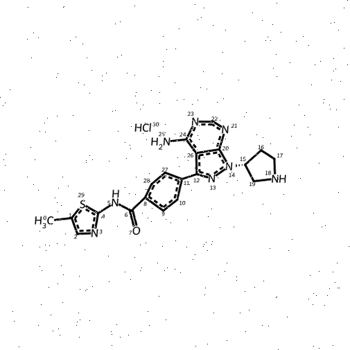 Cc1cnc(NC(=O)c2ccc(-c3nn([C@@H]4CCNC4)c4ncnc(N)c34)cc2)s1.Cl